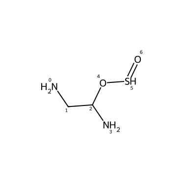 NCC(N)O[SH]=O